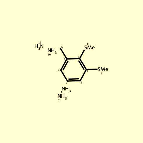 CSc1cccc(C)c1SC.N.N.N.N